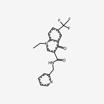 CCn1cc(C(=O)NCc2ccccn2)c(=O)c2cc(C(F)(F)F)ccc21